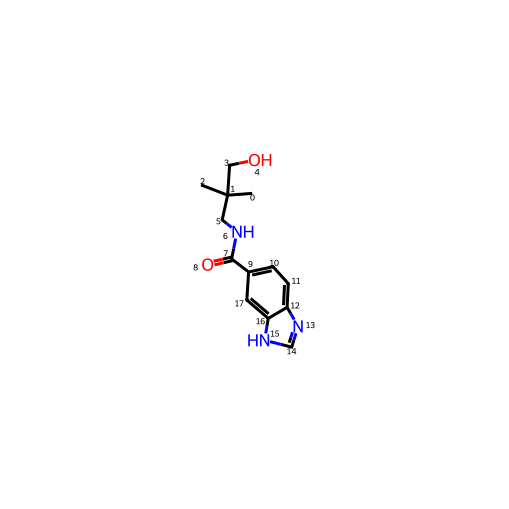 CC(C)(CO)CNC(=O)c1ccc2nc[nH]c2c1